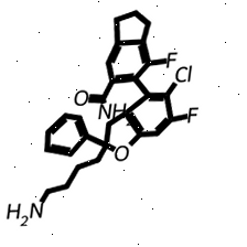 NCCCCC1(c2ccccc2)Cc2c(cc(F)c(Cl)c2-c2c(C(N)=O)cc3c(c2F)CCC3)O1